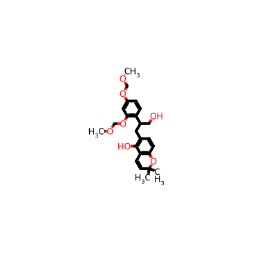 COCOc1ccc(C(CO)Cc2ccc3c(c2O)C=CC(C)(C)O3)c(OCOC)c1